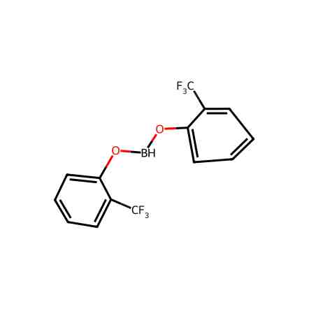 FC(F)(F)c1ccccc1OBOc1ccccc1C(F)(F)F